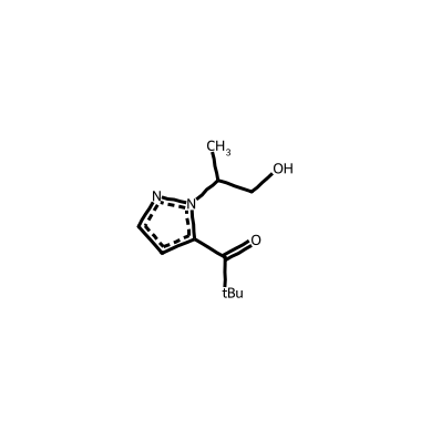 CC(CO)n1nccc1C(=O)C(C)(C)C